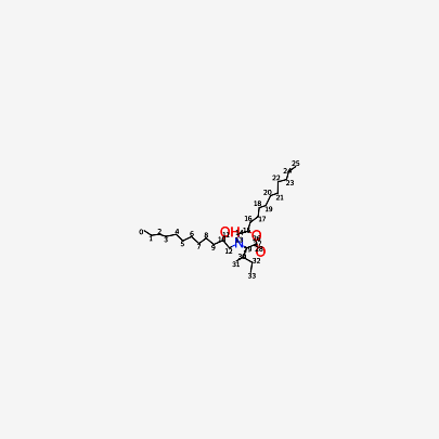 CCCCCCCCCCC(O)CN1CC(CCCCCCCCCC)OC(=O)C1C(C)CC